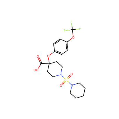 O=C(O)C1(Oc2ccc(OC(F)(F)F)cc2)CCN(S(=O)(=O)N2CCCCC2)CC1